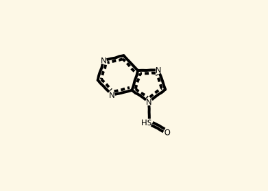 O=[SH]n1cnc2cncnc21